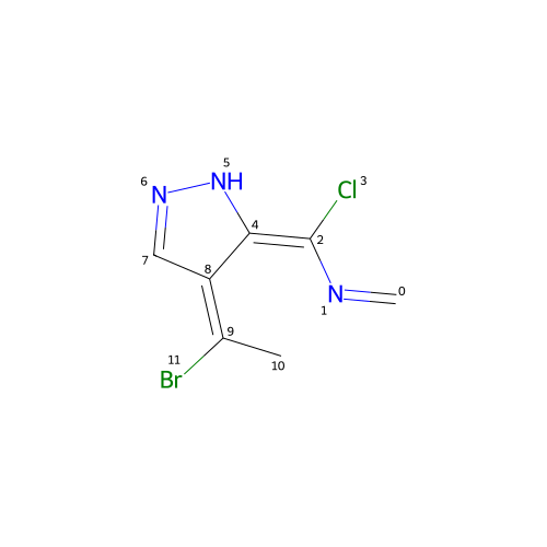 C=N/C(Cl)=c1/[nH]nc/c1=C(/C)Br